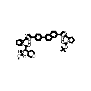 COC(=O)NC(C(=O)N1C2CCC(C2)C1c1ncc(-c2ccc(-c3ccc4cc(-c5cnc(C6CCCN6C(=O)OC(C)(C)C)[nH]5)ccc4c3)cc2)[nH]1)C1CCOCC1